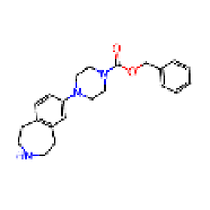 O=C(OCc1ccccc1)N1CCN(c2ccc3c(c2)CCNCC3)CC1